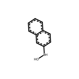 OBc1ccc2ccccc2c1